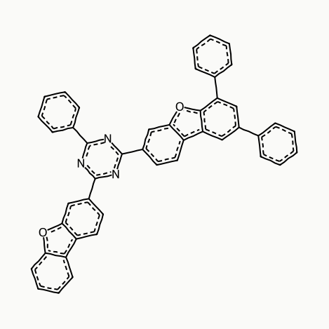 c1ccc(-c2cc(-c3ccccc3)c3oc4cc(-c5nc(-c6ccccc6)nc(-c6ccc7c(c6)oc6ccccc67)n5)ccc4c3c2)cc1